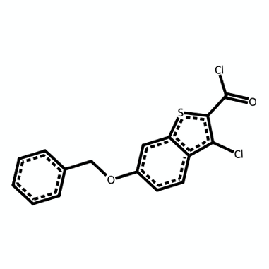 O=C(Cl)c1sc2cc(OCc3ccccc3)ccc2c1Cl